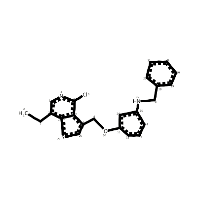 CCc1cnc(Cl)c2c(COc3cccc(NCc4ccccc4)c3)csc12